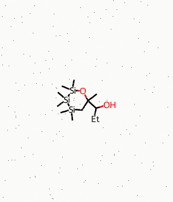 CCC(O)C1(C)C[Si](C)(C)[Si](C)(C)[Si](C)(C)O1